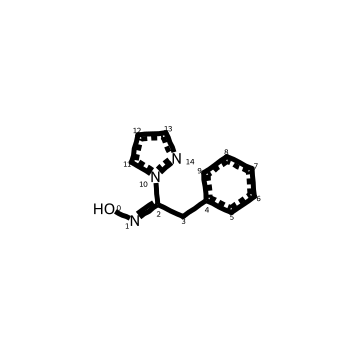 O/N=C(/Cc1ccccc1)n1cccn1